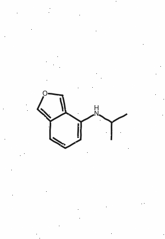 CC(C)Nc1cccc2cocc12